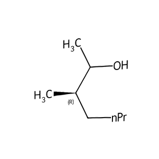 CCCC[C@@H](C)C(C)O